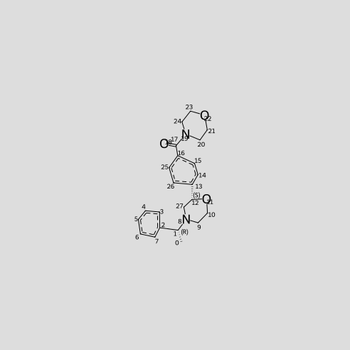 C[C@H](c1ccccc1)N1CCO[C@@H](c2ccc(C(=O)N3CCOCC3)cc2)C1